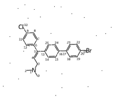 CN(C)C/C=C(/c1ccc(Cl)cc1)c1ccc(-c2ccc(Br)cc2)cc1